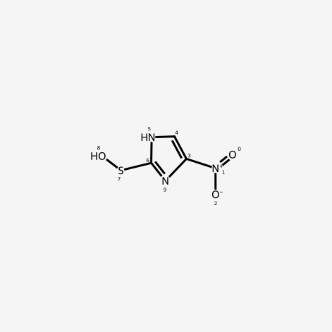 O=[N+]([O-])c1c[nH]c(SO)n1